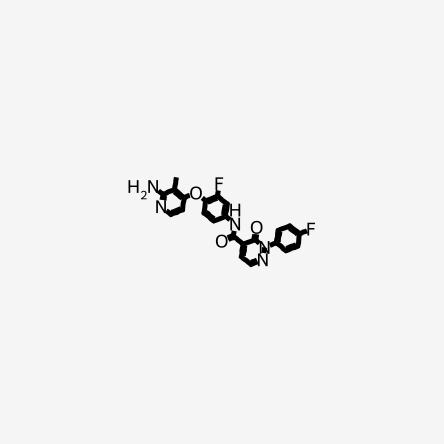 Cc1c(Oc2ccc(NC(=O)c3ccnn(-c4ccc(F)cc4)c3=O)cc2F)ccnc1N